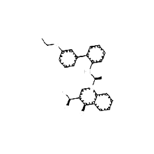 CCOc1cccc(-c2ccccc2NC(=O)n2cc(C(=O)O)c(=O)c3ccccc32)c1